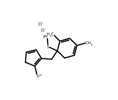 CC1=CCC(CC2=[C]([Ti+2])CC=C2)(SC(C)C)C(C)=C1.[Cl-].[Cl-]